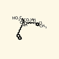 Cc1ccc(NCCCCCCOC(C(=O)NCCCCCCCc2ccc3ccccc3c2)C(OCC(=O)O)C(=O)O)cc1Cl